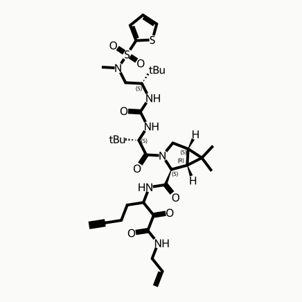 C#CCCC(NC(=O)[C@@H]1[C@@H]2[C@H](CN1C(=O)[C@@H](NC(=O)N[C@H](CN(C)S(=O)(=O)c1cccs1)C(C)(C)C)C(C)(C)C)C2(C)C)C(=O)C(=O)NCC=C